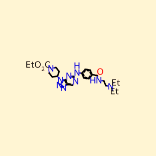 CCOC(=O)N1CCC(n2nnc3cnc(Nc4ccc(C(=O)NCCN(CC)CC)cc4)nc32)CC1